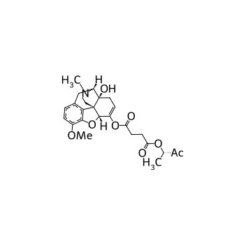 COc1ccc2c3c1O[C@H]1C(OC(=O)CCC(=O)O[C@@H](C)C(C)=O)=CC[C@@]4(O)[C@@H](C2)N(C)CC[C@]314